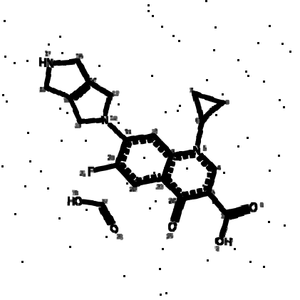 O=C(O)c1cn(C2CC2)c2cc(N3CC4=C(CNC4)C3)c(F)cc2c1=O.O=CO